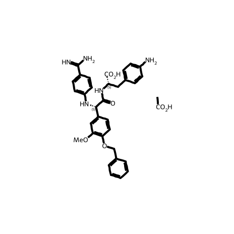 CC(=O)O.COc1cc([C@H](Nc2ccc(C(=N)N)cc2)C(=O)N[C@@H](Cc2ccc(N)cc2)C(=O)O)ccc1OCc1ccccc1